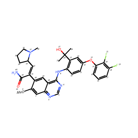 COc1cc2ncnc(Nc3ccc(Oc4cccc(F)c4F)cc3C(C)(C)O)c2cc1C(=CC1CCCN1C)C(N)=O